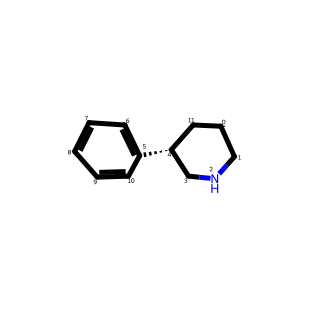 [CH]1CNC[C@H](c2ccccc2)C1